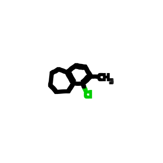 Cc1ccc2c(c1Cl)CCCCC2